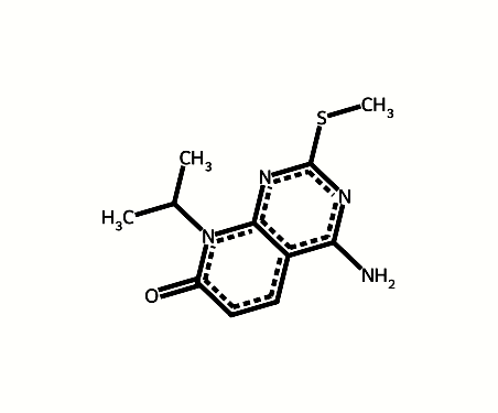 CSc1nc(N)c2ccc(=O)n(C(C)C)c2n1